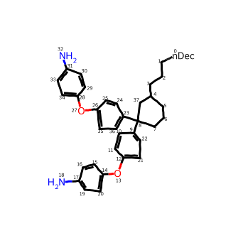 CCCCCCCCCCCCCC1CCCC(c2ccc(Oc3ccc(N)cc3)cc2)(c2ccc(Oc3ccc(N)cc3)cc2)C1